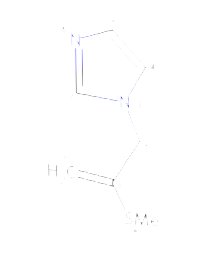 C=C(Cn1ccnc1)SC